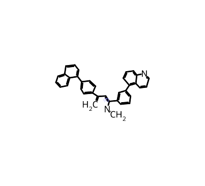 C=N/C(=C\C(=C)c1ccc(-c2cccc3ccccc23)cc1)c1cccc(-c2cccc3ncccc23)c1